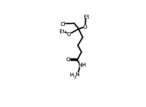 CCOC(CCl)(CCCC(=O)NN)OCC